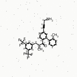 Cc1ccccc1-c1cc(C#CCN)ncc1C(=O)N(C)Cc1cc(C(F)(F)F)cc(C(F)(F)F)c1